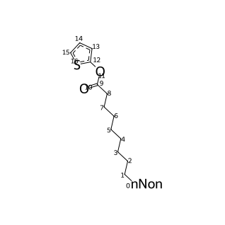 CCCCCCCCCCCCCCCCCC(=O)Oc1cccs1